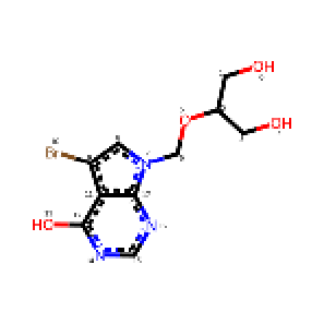 OCC(CO)OCn1cc(Br)c2c(O)ncnc21